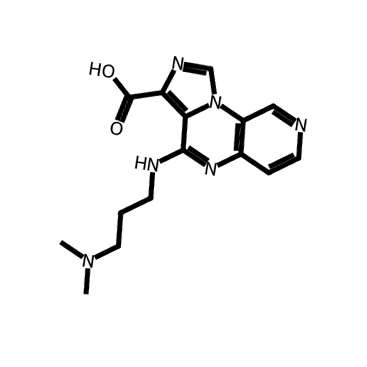 CN(C)CCCNc1nc2ccncc2n2cnc(C(=O)O)c12